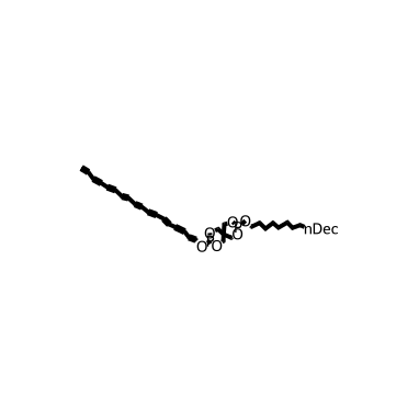 C#CC#CC#CC#CC#CC#CC#CC#CC#COP1OCC2(CO1)COP(OCCCCCCCCCCCCCCCCCC)OC2